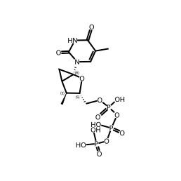 Cc1cn([C@@]23CC2[C@H](C)[C@@H](COP(=O)(O)OP(=O)(O)OP(=O)(O)O)O3)c(=O)[nH]c1=O